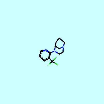 FC(F)(F)c1cccnc1N1CCN2CCCC1C2